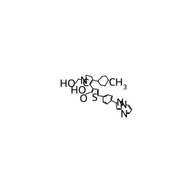 CC1CCC(C2=C(c3cc(-c4ccc(-c5cc6ncccn6n5)cc4)sc3C(=O)O)CN(CCO)CC2)CC1